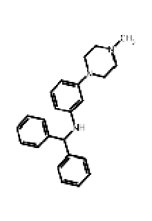 CN1CCN(c2cccc(NC(c3ccccc3)c3ccccc3)c2)CC1